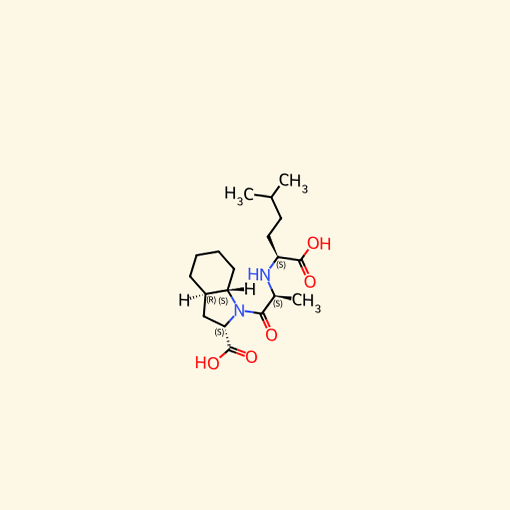 CC(C)CC[C@H](N[C@@H](C)C(=O)N1[C@H](C(=O)O)C[C@H]2CCCC[C@@H]21)C(=O)O